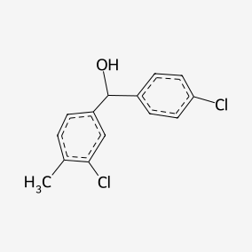 Cc1ccc(C(O)c2ccc(Cl)cc2)cc1Cl